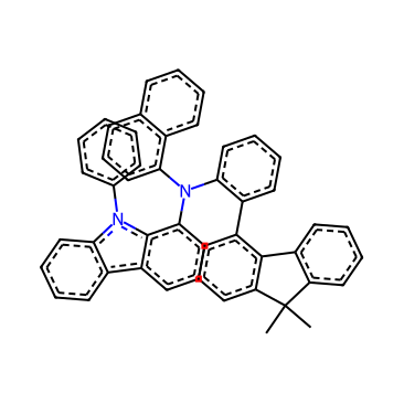 CC1(C)c2ccccc2-c2c(-c3ccccc3N(c3cccc4ccccc34)c3cccc4c5ccccc5n(-c5ccccc5)c34)cccc21